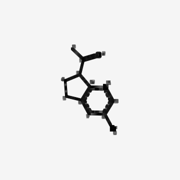 CC(=O)C1CCc2cc(Br)cnc21